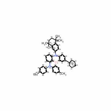 Cc1ccc2c(c1)B1c3cc(C45CCC(CC4)CC5)ccc3N(c3ccc4c(c3)C(C)(C)CCC4(C)C)c3cccc(c31)N2c1ccc(C(C)(C)C)cc1